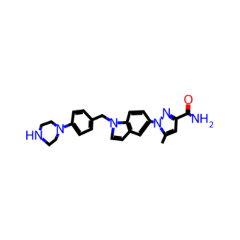 Cc1cc(C(N)=O)nn1-c1ccc2c(ccn2Cc2ccc(N3CCNCC3)cc2)c1